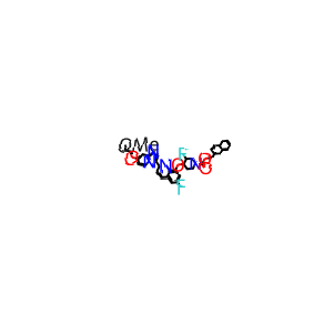 COCCOc1ccn2c(-c3ccc4cc(F)cc(OC5CCN(C(=O)OCc6ccc7ccccc7c6)CC5F)c4n3)cnc2c1